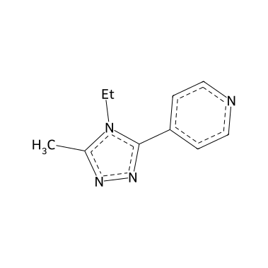 CCn1c(C)nnc1-c1ccncc1